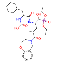 CCOP(=O)(OCC)C(O)C(CC(C)C(=O)N1CCOc2ccccc2C1)NC(=O)C(CC1CCCCC1)NC(=O)O